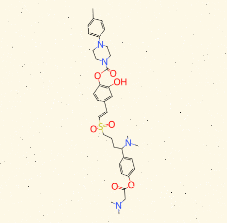 Cc1ccc(N2CCN(C(=O)Oc3ccc(/C=C/S(=O)(=O)CCCC(c4ccc(OC(=O)CN(C)C)cc4)N(C)C)cc3O)CC2)cc1